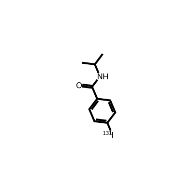 CC(C)NC(=O)c1ccc([131I])cc1